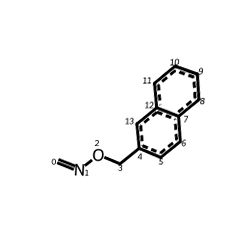 C=NOCc1ccc2ccccc2c1